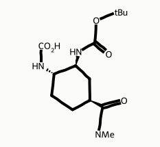 CNC(=O)[C@H]1CC[C@H](NC(=O)O)[C@@H](NC(=O)OC(C)(C)C)C1